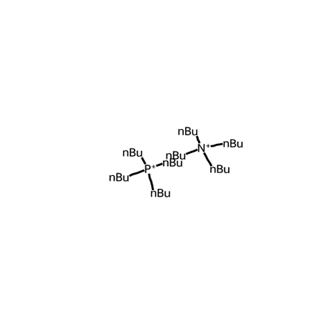 CCCC[N+](CCCC)(CCCC)CCCC.CCCC[P+](CCCC)(CCCC)CCCC